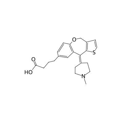 CN1CCC(=C2c3cc(CCCC(=O)O)ccc3OCc3ccsc32)CC1